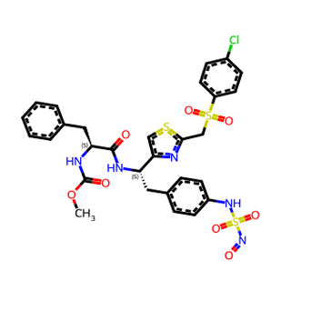 COC(=O)N[C@@H](Cc1ccccc1)C(=O)N[C@@H](Cc1ccc(NS(=O)(=O)N=O)cc1)c1csc(CS(=O)(=O)c2ccc(Cl)cc2)n1